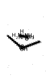 CCCCCCCCCCCCCCCCOP(=O)(O)OCCCCCCCCCCCCCCCC.N=C(N)NCCCC(N)C(=O)O